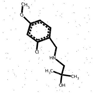 COc1ccc(CNCC(C)(C)O)c(Cl)c1